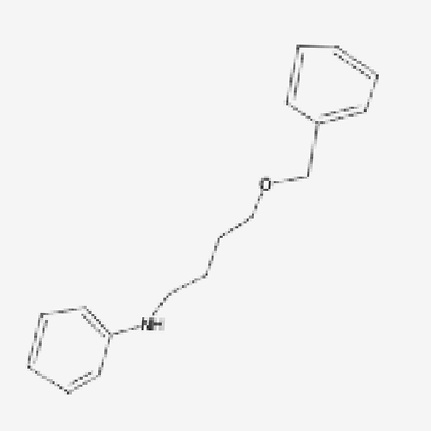 c1ccc(COCCCCNc2ccccc2)cc1